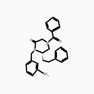 O=C(c1ccccc1)N1CC(=O)N(Cc2cccc(C(F)(F)F)c2)[C@@H](CCc2ccccc2)C1